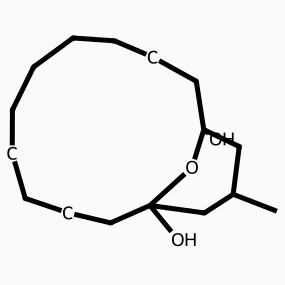 CC1CC2(O)CCCCCCCCCCC(O)(C1)O2